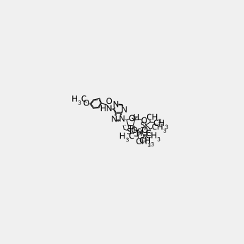 COc1ccc(C(=O)Nc2ncnc3c2ncn3[C@@H]2O[C@@H]3CO[Si](C(C)C)(C(C)C)O[Si](C(C)C)(C(C)C)O[C@H]3[C@]23CCS3)cc1